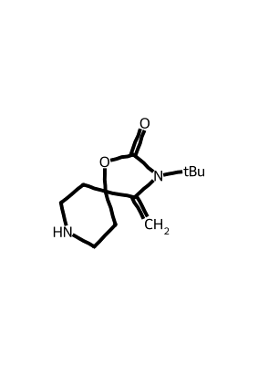 C=C1N(C(C)(C)C)C(=O)OC12CCNCC2